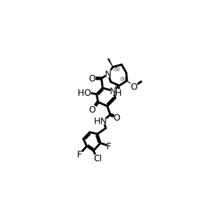 CO[C@H]1CC[C@H](C)N2C[C@H]1n1cc(C(=O)NCc3ccc(F)c(Cl)c3F)c(=O)c(O)c1C2=O